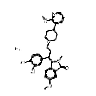 COc1ccc2c(c1)C(=O)N(C)C2C(CCN1CCC(c2cccnc2OC)CC1)c1ccc(Cl)c(Cl)c1.Cl